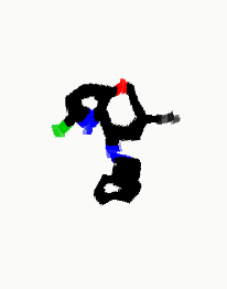 CC1COc2ccc(Cl)nc2C(=NCc2ccccc2)C1